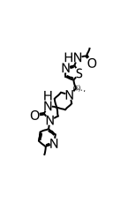 CC(=O)Nc1ncc([C@H](C)N2CCC3(CC2)CN(c2ccc(C)nc2)C(=O)N3)s1